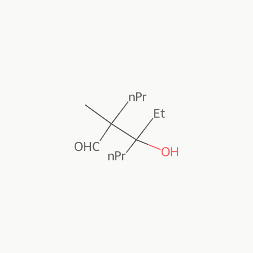 CCCC(C)(C=O)C(O)(CC)CCC